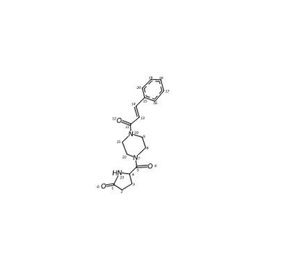 O=C1CCC(C(=O)N2CCN(C(=O)/C=C/c3ccccc3)CC2)N1